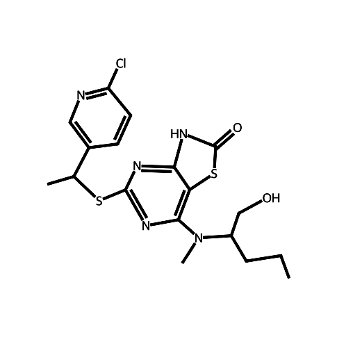 CCCC(CO)N(C)c1nc(SC(C)c2ccc(Cl)nc2)nc2[nH]c(=O)sc12